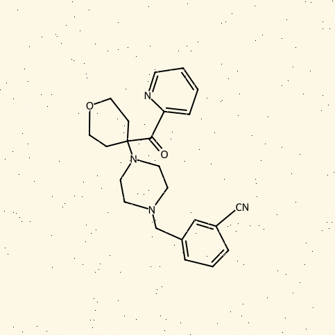 N#Cc1cccc(CN2CCN(C3(C(=O)c4ccccn4)CCOCC3)CC2)c1